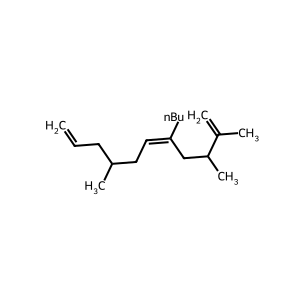 C=CCC(C)C/C=C(/CCCC)CC(C)C(=C)C